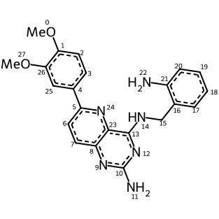 COc1ccc(-c2ccc3nc(N)nc(NCc4ccccc4N)c3n2)cc1OC